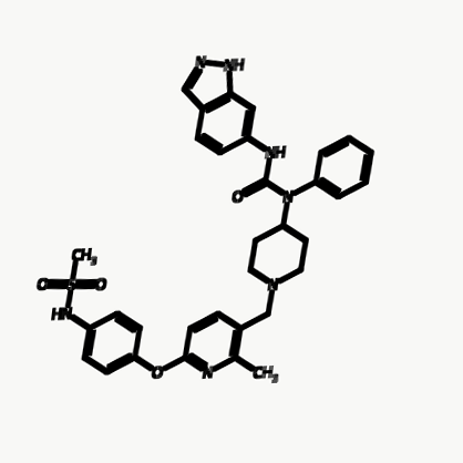 Cc1nc(Oc2ccc(NS(C)(=O)=O)cc2)ccc1CN1CCC(N(C(=O)Nc2ccc3cn[nH]c3c2)c2ccccc2)CC1